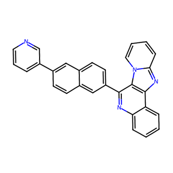 c1cncc(-c2ccc3cc(-c4nc5ccccc5c5nc6ccccn6c45)ccc3c2)c1